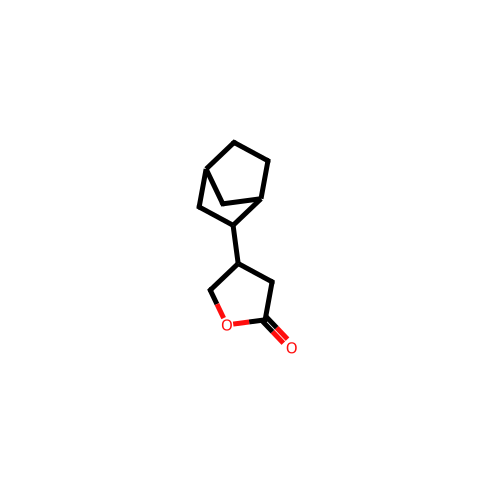 O=C1CC(C2CC3CCC2C3)CO1